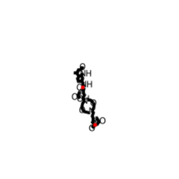 Cc1cc(=O)[nH]c2cc(NC(=O)CN(CCN3CCOCCN(CCN4CC(=O)CC(=O)C4)CCOCC3)CC(=O)O)ccc12